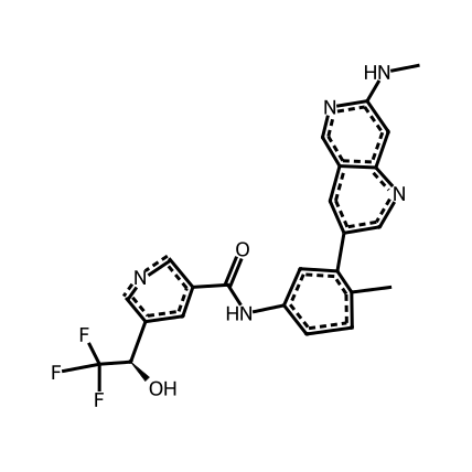 CNc1cc2ncc(-c3cc(NC(=O)c4cncc([C@@H](O)C(F)(F)F)c4)ccc3C)cc2cn1